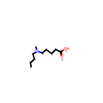 CCCCN(C)CCCCC(=O)O